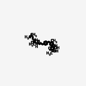 CC[C@@]12CO[C@@](c3ccc(C)c(Cc4ccc(CCCC(=O)NC(C)(C)C(=O)NCCN(C)C)cc4)c3)(O1)[C@H](O)[C@@H](O)[C@@H]2O